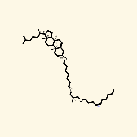 CCCCC/C=C\CCCOC[C@@H](C)COCCCCCCCO[C@H]1CC[C@@]2(C)C(=CC[C@@H]3C2CC[C@@]2(C)C3CC[C@@H]2[C@H](C)CCCC(C)C)C1